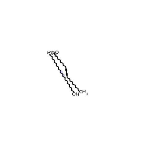 CCCCCCCCCC/C=C/C=C/CCCCCCCCCO.CCCCCCCCCCC#CC#CCCCCCCCCC(=O)O